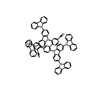 N#Cc1ccc(-c2cc(-c3ccc(C(F)(F)F)cc3C#N)ccc2-n2c3ccc(-n4c5ccccc5c5ccccc54)cc3c3cc(-n4c5ccccc5c5ccccc54)ccc32)c(-n2c3ccc(-n4c5ccccc5c5ccccc54)cc3c3cc(-n4c5ccccc5c5ccccc54)ccc32)c1